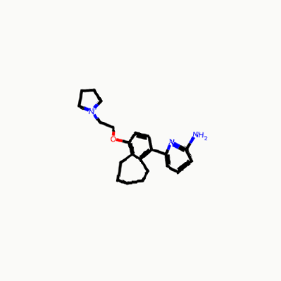 Nc1cccc(-c2ccc(OCCN3CCCC3)c3c2CCCCC3)n1